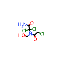 NC(=O)C(Cl)(Cl)N(CO)C(=O)CCl